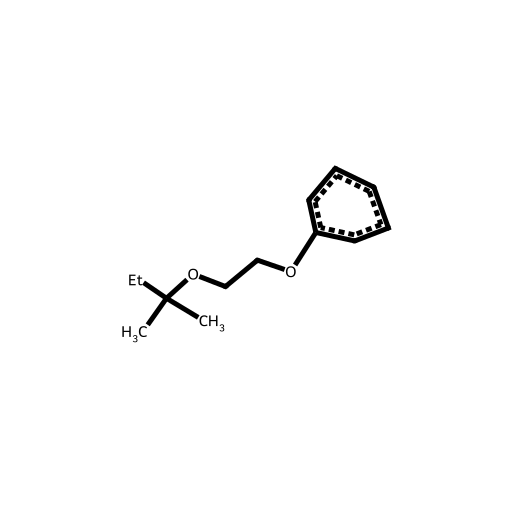 CCC(C)(C)OCCOc1ccccc1